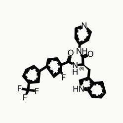 O=C(N[C@H](Cc1c[nH]c2ccccc12)C(=O)Nc1ccncc1)c1ccc(-c2cccc(C(F)(F)F)c2)cc1F